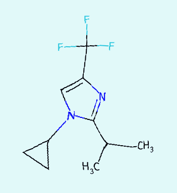 CC(C)c1nc(C(F)(F)F)cn1C1CC1